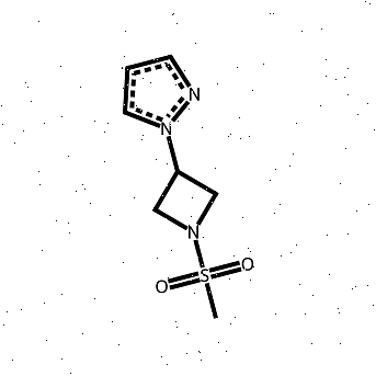 CS(=O)(=O)N1CC(n2c[c]cn2)C1